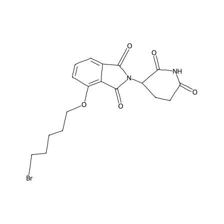 O=C1CCC(N2C(=O)c3cccc(OCCCCCBr)c3C2=O)C(=O)N1